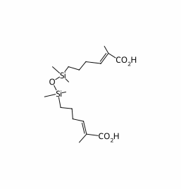 CC(=CCCC[Si](C)(C)O[Si](C)(C)CCCC=C(C)C(=O)O)C(=O)O